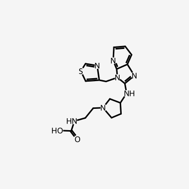 O=C(O)NCCN1CCC(Nc2nc3cccnc3n2Cc2cscn2)C1